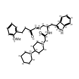 COc1ccccc1CCC(=O)N=NC[C@@H](Cc1c[nH]c2ccccc12)NC(=O)CN1CCC(N2CCCCC2)CC1